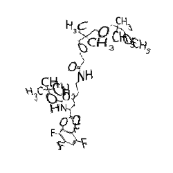 CCC(C)(COCCC(=O)NCCCC[C@H](NC(=O)OC(C)(C)C)C(=O)Oc1c(F)c(F)cc(F)c1F)COCC(C)(C)COC